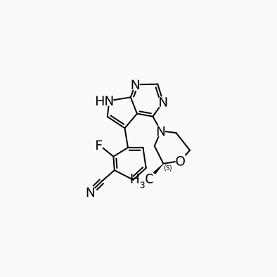 C[C@H]1CN(c2ncnc3[nH]cc(-c4cccc(C#N)c4F)c23)CCO1